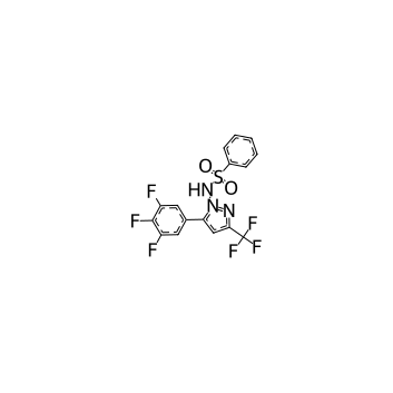 O=S(=O)(Nn1nc(C(F)(F)F)cc1-c1cc(F)c(F)c(F)c1)c1ccccc1